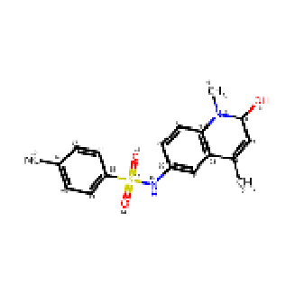 CC1=CC(O)N(C)c2ccc(NS(=O)(=O)c3ccc(C#N)cc3)cc21